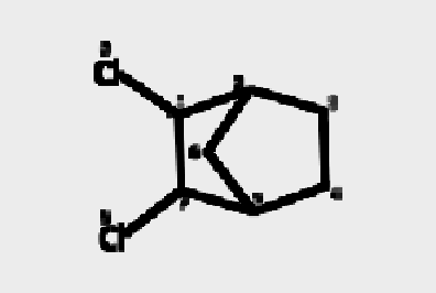 Cl[C]1C2CCC(C2)C1Cl